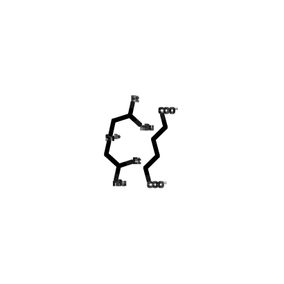 CCCCC(CC)[CH2][Sn+2][CH2]C(CC)CCCC.O=C([O-])CCCCC(=O)[O-]